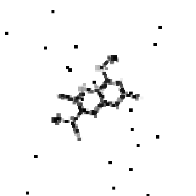 CNc1cc(F)cc2cc(C(C)=O)c(=O)[nH]c12